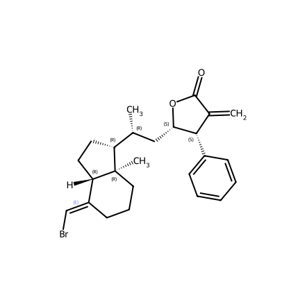 C=C1C(=O)O[C@@H](C[C@@H](C)[C@H]2CC[C@H]3/C(=C/Br)CCC[C@]23C)[C@H]1c1ccccc1